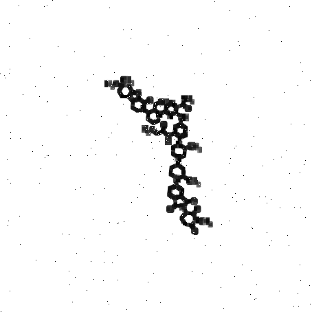 C=CC(=O)Nc1cc(Nc2nc(N3CCCC(N4CCc5c(sc6c5CCC(C)(C)C6)C4=O)C3CO)cnc2C(N)=O)ccc1N1CCN(C2CCN(c3ccc4c(c3)C(=O)N(C3CCC(=O)N(C)C3=O)C4=O)[C@H](C)C2)C[C@@H]1C